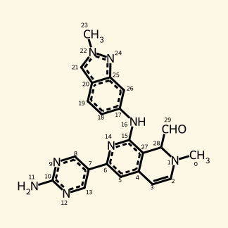 CN1C=Cc2cc(-c3cnc(N)nc3)nc(Nc3ccc4cn(C)nc4c3)c2C1C=O